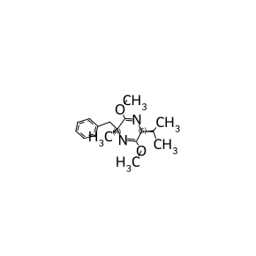 COC1=N[C@](C)(Cc2ccccc2)C(OC)=N[C@H]1C(C)C